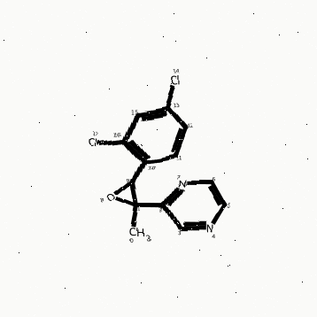 CC1(c2cnccn2)OC1c1ccc(Cl)cc1Cl